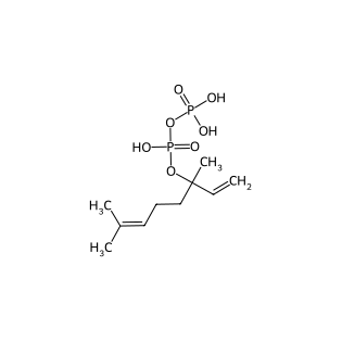 C=CC(C)(CCC=C(C)C)OP(=O)(O)OP(=O)(O)O